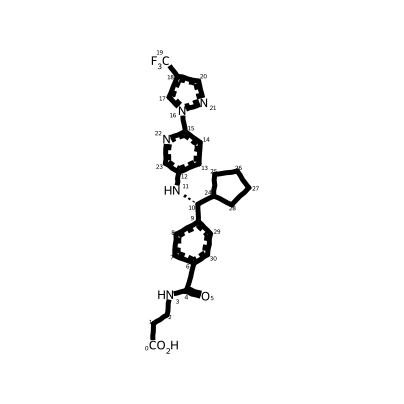 O=C(O)CCNC(=O)c1ccc([C@H](Nc2ccc(-n3cc(C(F)(F)F)cn3)nc2)C2CCCC2)cc1